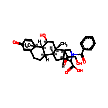 C[C@]12C=CC(=O)C=C1CC[C@@H]1[C@@H]2[C@@H](O)C[C@@]2(C)[C@H]1C[C@H]1C(C(=O)O)N(C(=O)c3ccccc3)C[C@]12C(=O)CO